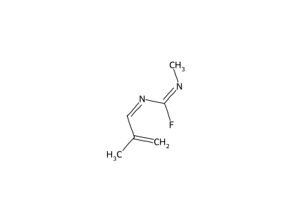 C=C(C)/C=N\C(F)=N/C